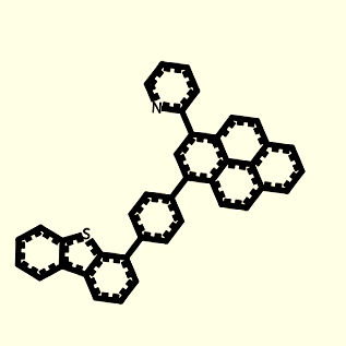 c1ccc(-c2cc(-c3ccc(-c4cccc5c4sc4ccccc45)cc3)c3ccc4cccc5ccc2c3c45)nc1